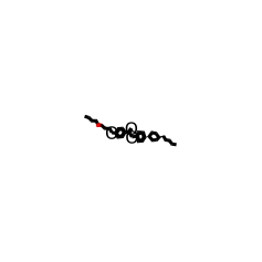 CCCCCCCCOc1ccc(C(=O)Oc2ccc([C@H]3CC[C@H](CCCCC)CC3)cc2)cc1